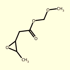 COCOC(=O)CC1OC1C